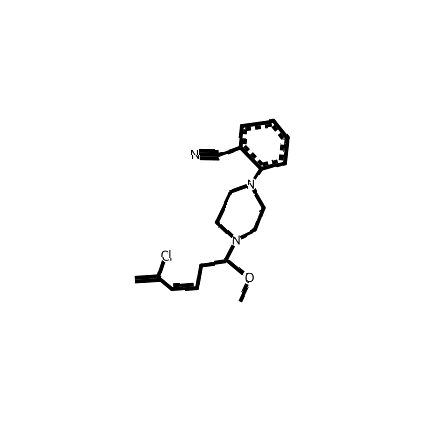 C=C(Cl)/C=C\CC(OC)N1CCN(c2ccccc2C#N)CC1